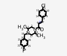 CC1CN(C(=O)/C=C/c2ccc(Cl)cc2)C(C)CN1Cc1ccc(F)cc1